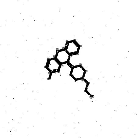 CC(=O)CCN1CCC(=C2c3ccccc3Oc3ccc(C)cc32)CC1